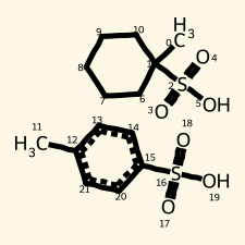 CC1(S(=O)(=O)O)CCCCC1.Cc1ccc(S(=O)(=O)O)cc1